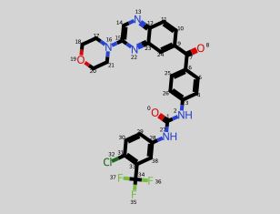 O=C(Nc1ccc(C(=O)c2ccc3ncc(N4CCOCC4)nc3c2)cc1)Nc1ccc(Cl)c(C(F)(F)F)c1